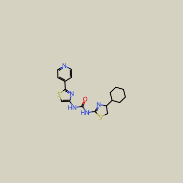 O=C(NC1=NC(C2CCCCC2)CS1)Nc1csc(-c2ccncc2)n1